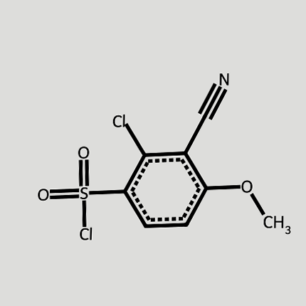 COc1ccc(S(=O)(=O)Cl)c(Cl)c1C#N